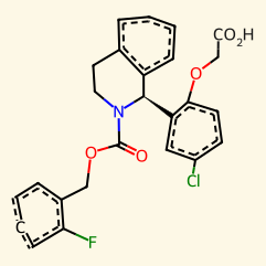 O=C(O)COc1ccc(Cl)cc1[C@@H]1c2ccccc2CCN1C(=O)OCc1ccccc1F